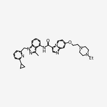 CCN1CCN(CCOc2ccn3c(C(=O)Nc4cccc5c4c(C)nn5Cc4cccc(C5CC5)n4)cnc3c2)CC1